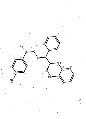 C[C@H](CO[C@@H](c1ccccc1)[C@@H]1CNc2cccnc2N1)c1ccc(C#N)cc1